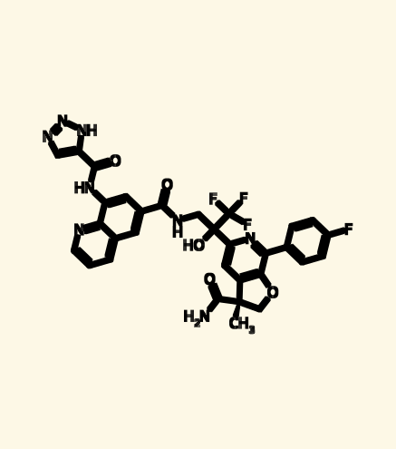 C[C@]1(C(N)=O)COc2c1cc(C(O)(CNC(=O)c1cc(NC(=O)c3cnn[nH]3)c3ncccc3c1)C(F)(F)F)nc2-c1ccc(F)cc1